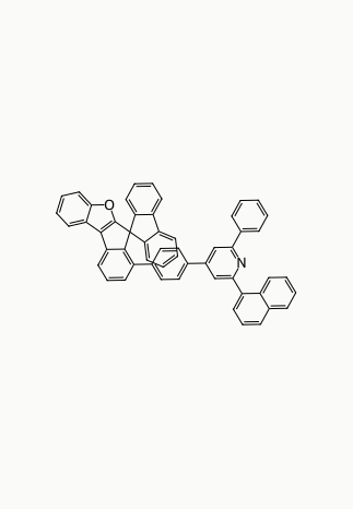 c1ccc(-c2cc(-c3ccc(-c4cccc5c4C4(c6ccccc6-c6ccccc64)c4oc6ccccc6c4-5)cc3)cc(-c3cccc4ccccc34)n2)cc1